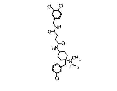 CN(C)C1(Cc2cccc(Cl)c2)CCC(NC(=O)CCC(=O)NCc2ccc(Cl)c(Cl)c2)CC1